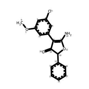 COc1cc(Cl)cc(C2=C(N)OC(c3ccccc3)C2=O)c1